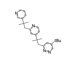 CC(C)(C)c1cnnc(CC(C)(C)c2ccnc(CC(C)(C)c3cccnc3)c2)c1